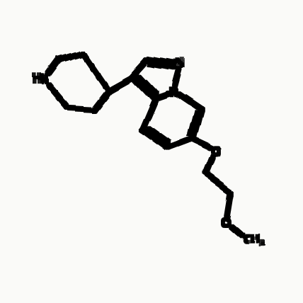 COCCOc1ccc2c(C3CCNCC3)cnn2c1